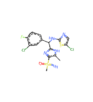 Cc1[nH]c(C(Nc2ncc(Cl)s2)c2ccc(F)c(Cl)c2)nc1S(C)(=N)=O